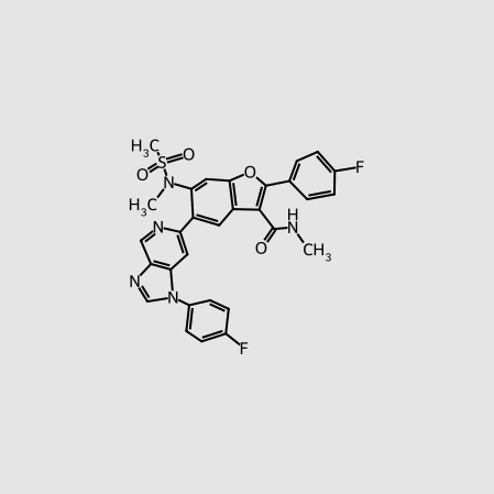 CNC(=O)c1c(-c2ccc(F)cc2)oc2cc(N(C)S(C)(=O)=O)c(-c3cc4c(cn3)ncn4-c3ccc(F)cc3)cc12